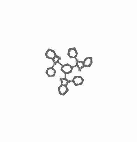 c1ccc(-n2c(-c3cc(-c4nc5ccccc5n4-c4ccccc4)cc(-c4nc5ccccc5n4-c4ccccc4)c3)nc3ccccc32)cc1